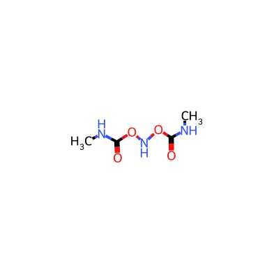 CNC(=O)ONOC(=O)NC